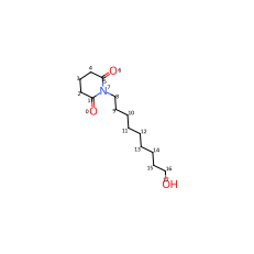 O=C1CCCC(=O)N1CCCCCCCCCO